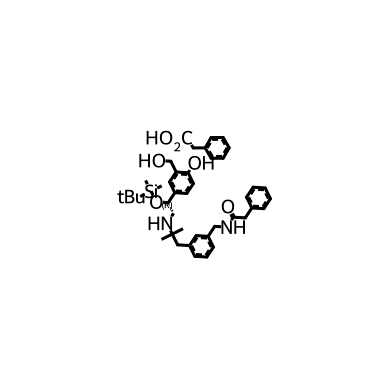 CC(C)(Cc1cccc(CNC(=O)Cc2ccccc2)c1)NC[C@H](O[Si](C)(C)C(C)(C)C)c1ccc(O)c(CO)c1.O=C(O)Cc1ccccc1